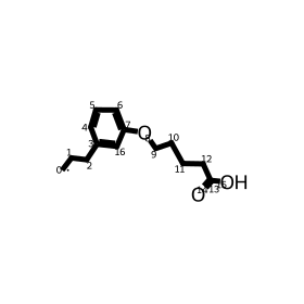 [CH2]CCc1cccc(OCCCCC(=O)O)c1